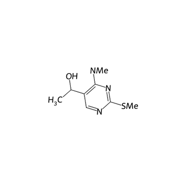 CNc1nc(SC)ncc1C(C)O